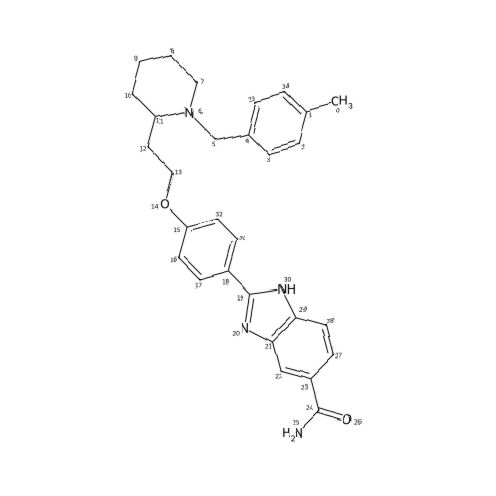 Cc1ccc(CN2CCCCC2CCOc2ccc(-c3nc4cc(C(N)=O)ccc4[nH]3)cc2)cc1